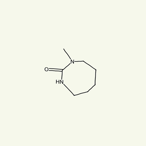 CN1CCCCCNC1=O